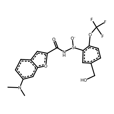 CN(C)c1ccc2cc(C(=O)N[S+]([O-])c3cc(CO)ccc3OC(F)(F)F)oc2c1